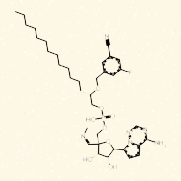 CCCCCCCCCCCCC[C@@H](COP(=O)(O)OC[C@@]1(/C=N\C)O[C@@H](c2ccc3c(N)ncnn23)[C@H](O)[C@@H]1O)OCc1cc(F)cc(C#N)c1